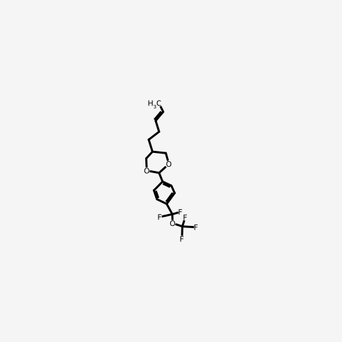 C/C=C/CCC1COC(c2ccc(C(F)(F)OC(F)(F)F)cc2)OC1